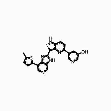 Cc1ccc(-c2cncc3[nH]c(-c4n[nH]c5ccc(-c6cncc(O)c6)nc45)nc23)s1